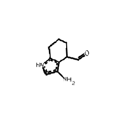 Nc1c[nH]c2c1C(C=O)CCC2